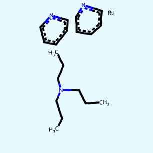 CCCN(CCC)CCC.[Ru].c1ccncc1.c1ccncc1